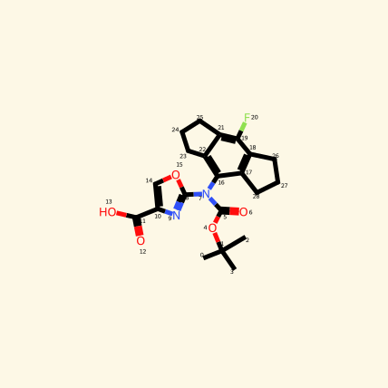 CC(C)(C)OC(=O)N(c1nc(C(=O)O)co1)c1c2c(c(F)c3c1CCC3)CCC2